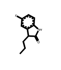 CCCC1C(=O)Nc2ccc(F)cc21